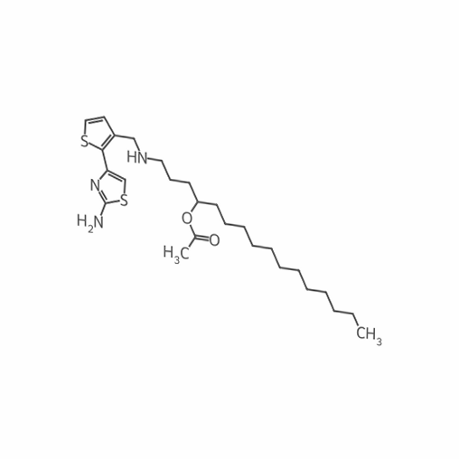 CCCCCCCCCCCCC(CCCNCc1ccsc1-c1csc(N)n1)OC(C)=O